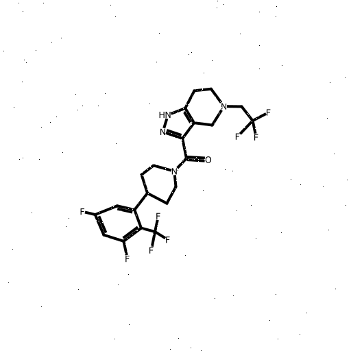 O=C(c1n[nH]c2c1CN(CC(F)(F)F)CC2)N1CCC(c2cc(F)cc(F)c2C(F)(F)F)CC1